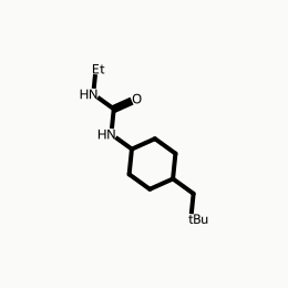 CCNC(=O)NC1CCC(CC(C)(C)C)CC1